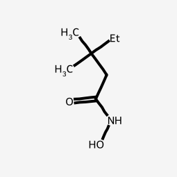 CCC(C)(C)CC(=O)NO